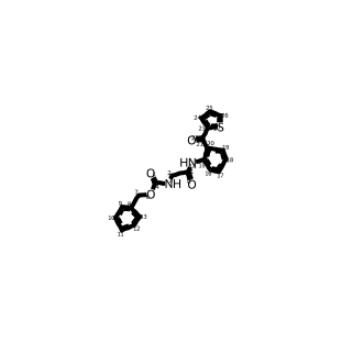 O=C(CNC(=O)OCc1ccccc1)Nc1ccccc1C(=O)c1cccs1